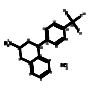 Cl.NC1Cc2ccccc2N(c2ccc(C(F)(F)F)cc2)C1